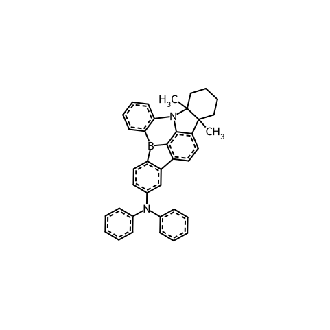 CC12CCCCC1(C)N1c3ccccc3B3c4ccc(N(c5ccccc5)c5ccccc5)cc4-c4ccc2c1c43